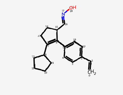 C=Cc1ccc(C2=C(C3CCCC3)CCC2C=NO)cc1